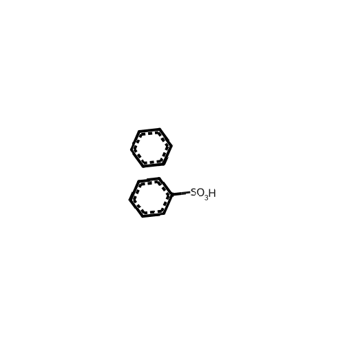 O=S(=O)(O)c1ccccc1.c1ccccc1